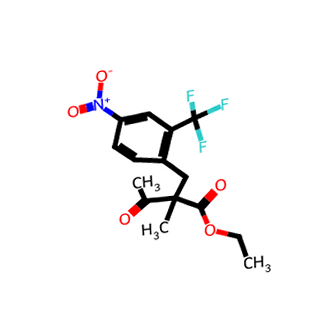 CCOC(=O)C(C)(Cc1ccc([N+](=O)[O-])cc1C(F)(F)F)C(C)=O